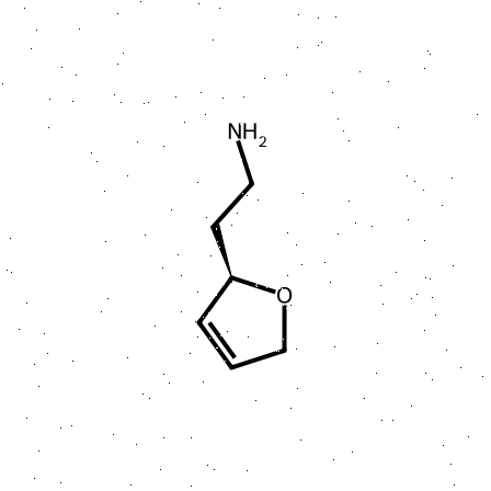 NCC[C@@H]1C=CCO1